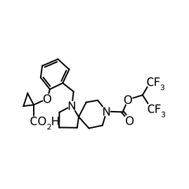 O=C(OC(C(F)(F)F)C(F)(F)F)N1CCC2(CCCN2Cc2ccccc2OC2(C(=O)O)CC2)CC1